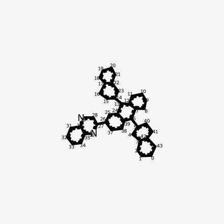 c1ccc2cc(-c3c4ccccc4c(-c4ccc5ccccc5c4)c4cc(-c5cnc6ccccc6n5)ccc34)ccc2c1